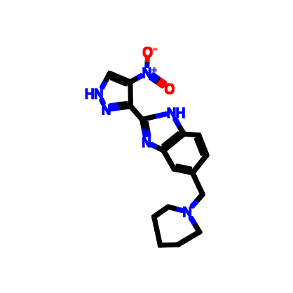 O=[N+]([O-])c1c[nH]nc1-c1nc2cc(CN3CCCCC3)ccc2[nH]1